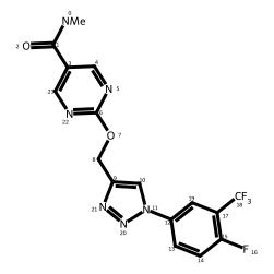 CNC(=O)c1cnc(OCc2cn(-c3ccc(F)c(C(F)(F)F)c3)nn2)nc1